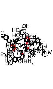 CCNNC(=O)[C@@H]1NC(=O)[C@H]2NC(=O)[C@H](NC(=O)[C@@H]3NC(=O)[C@H](CC(N)=O)NC(=O)[C@H](NC(=O)[C@@H](CC(C)C)NC)[C@H](O)c4ccc(c(Cl)c4)Oc4cc3cc(c4O[C@@H]3O[C@H](CO)[C@@H](O)[C@H](O)[C@H]3O[C@H]3C[C@](C)(NCCN4CCN(NC(=O)Cc5ccc(Cl)c(Cl)c5)CC4)[C@H](O)[C@H](C)O3)Oc3ccc(cc3Cl)[C@H]2O)c2ccc(O)c(c2)-c2c(O)cc(O)cc21